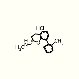 CNC[C@@H]1CCc2cccc(-c3ccccc3C)c2O1.Cl